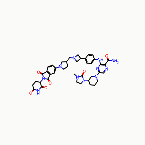 CN1CCN([C@@H]2CCCN(c3cnc(C(N)=O)c(Nc4ccc(C5CN(C[C@H]6CCN(c7ccc8c(c7)C(=O)N(C7CCC(=O)NC7=O)C8=O)C6)C5)cc4)n3)C2)C1=O